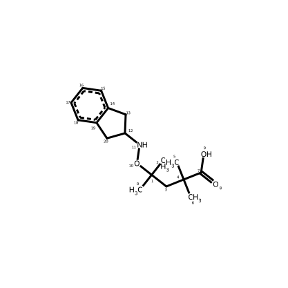 CC(C)(CC(C)(C)C(=O)O)ONC1Cc2ccccc2C1